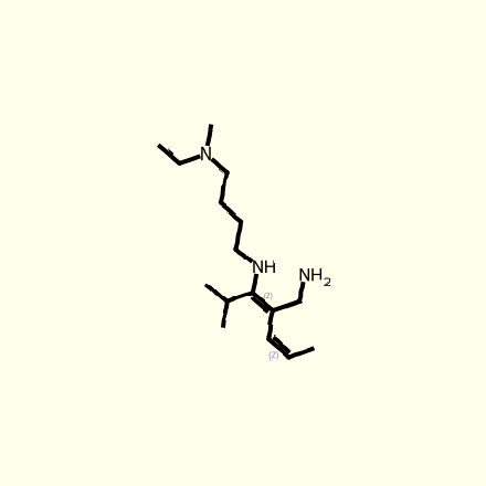 C/C=C\C(CN)=C(\NCCCCN(C)CC)C(C)C